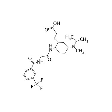 CC(C)N(C)[C@@H]1CC[C@H](NC(=O)CNC(=O)c2cccc(C(F)(F)F)c2)[C@H](CCC(=O)O)C1